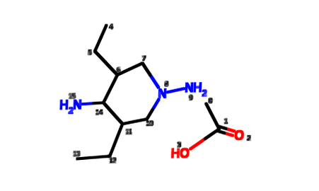 CC(=O)O.CCC1CN(N)CC(CC)C1N